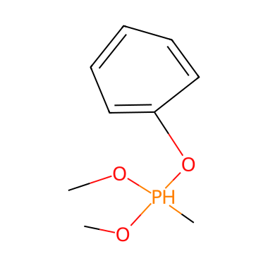 CO[PH](C)(OC)Oc1ccccc1